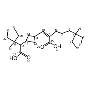 CCC(C)(CC)CCCC(=CC1CC(C(C(=O)O)C(C)(CC)CC)C1)C(=O)O